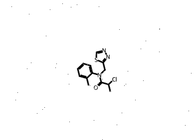 Cc1ccccc1N(Cc1nncs1)C(=O)C(C)Cl